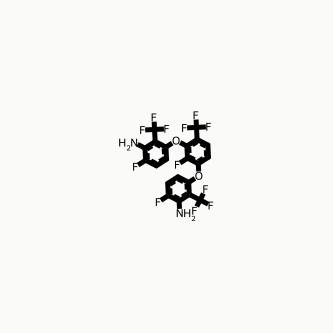 Nc1c(F)ccc(Oc2ccc(C(F)(F)F)c(Oc3ccc(F)c(N)c3C(F)(F)F)c2F)c1C(F)(F)F